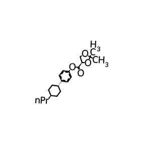 CCC[C@H]1CC[C@H](c2ccc(OC(=O)[C@H]3COC(C)(C)O3)cc2)CC1